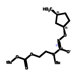 CC(C)(C)OC(=O)OCCN(/[N+]([O-])=N/O[C@@H]1CC[C@H](C(=O)O)C1)C(C)(C)C